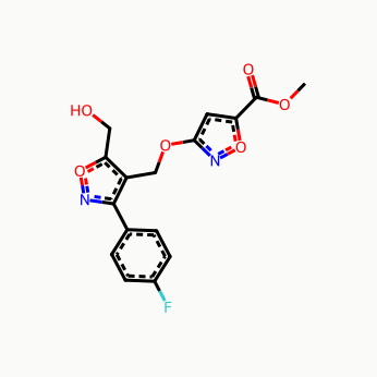 COC(=O)c1cc(OCc2c(-c3ccc(F)cc3)noc2CO)no1